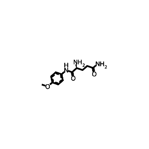 COc1ccc(NC(=O)[C@@H](N)CCC(N)=O)cc1